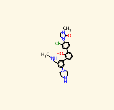 CCNCc1cc(-c2cccc(-c3ccc(N4CCN(C)C4=O)c(Cl)c3)c2O)cc(N2CCNCC2)c1